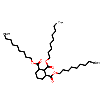 CCCCCCCCCCCCCCCCCCOC(=O)C1CCCC(C(=O)OCCCCCCCCCCCCCCCCCC)C1C(=O)OCCCCCCCCCCCCCCCCCC